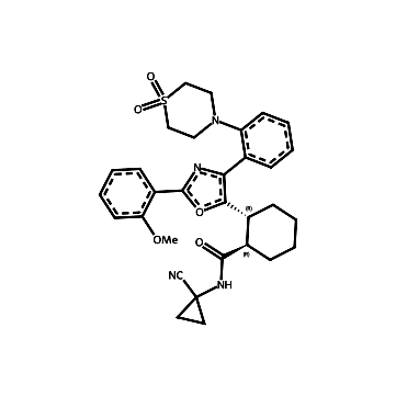 COc1ccccc1-c1nc(-c2ccccc2N2CCS(=O)(=O)CC2)c([C@@H]2CCCC[C@H]2C(=O)NC2(C#N)CC2)o1